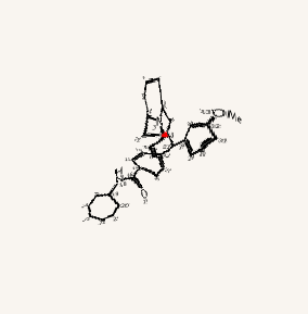 C=CCN1C2CCCC1CN(C(c1ccc(C(=O)NC3CCCCCC3)cc1)c1cccc(OC)c1)C2